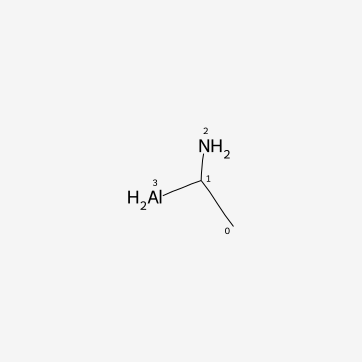 C[CH](N)[AlH2]